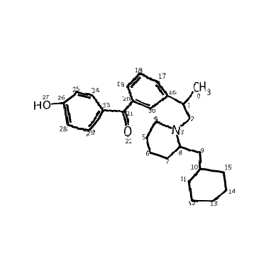 CC(CN1CCCCC1CC1CCCCC1)c1cccc(C(=O)c2ccc(O)cc2)c1